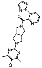 Cc1nc(N2CC3CN(C(=O)c4ncccc4-n4nccn4)CC3C2)nc(C)c1Cl